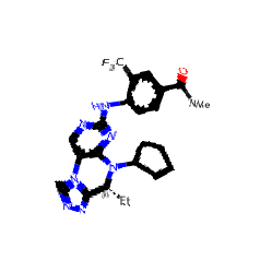 CC[C@@H]1c2nncn2-c2cnc(Nc3ccc(C(=O)NC)cc3C(F)(F)F)nc2N1C1CCCC1